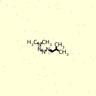 CC(C)/C=N/N=N\N(C)C